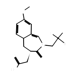 COC1=CC2=CN(CC(F)(F)F)C(=O)[C@@H](CC(=O)O)CC2C=C1